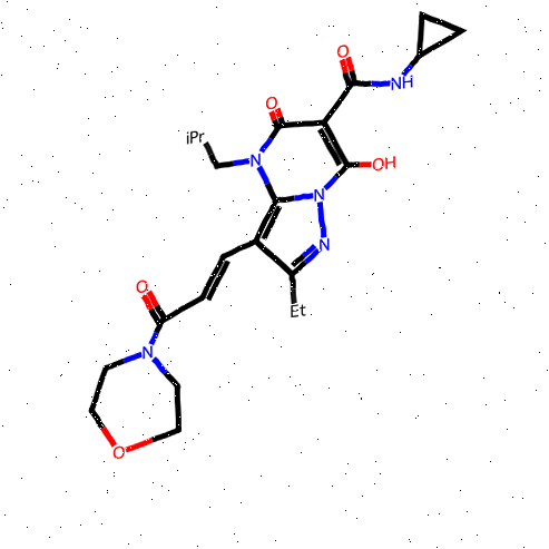 CCc1nn2c(O)c(C(=O)NC3CC3)c(=O)n(CC(C)C)c2c1/C=C/C(=O)N1CCOCC1